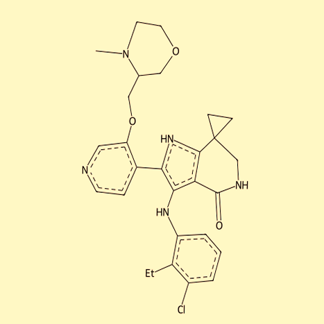 CCc1c(Cl)cccc1Nc1c(-c2ccncc2OCC2COCCN2C)[nH]c2c1C(=O)NCC21CC1